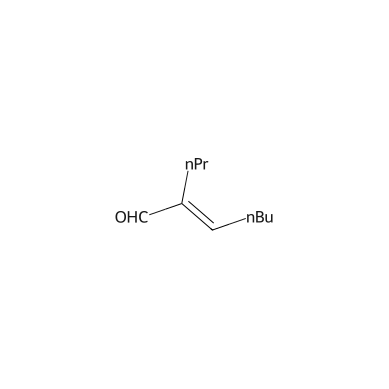 CCCC/C=C(/C=O)CCC